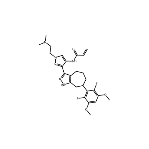 C=CC(=O)Nc1cn(CCN(C)C)nc1-c1n[nH]c2c1CCCC(c1c(F)c(OC)cc(OC)c1F)C2